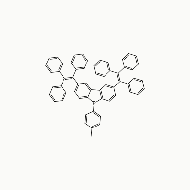 Cc1ccc(-p2c3ccc(C(=C(c4ccccc4)c4ccccc4)c4ccccc4)cc3c3cc(C(=C(c4ccccc4)c4ccccc4)c4ccccc4)ccc32)cc1